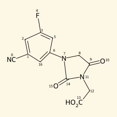 N#Cc1cc(F)cc(N2CC(=O)N(CC(=O)O)C2=O)c1